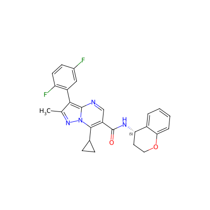 Cc1nn2c(C3CC3)c(C(=O)N[C@H]3CCOc4ccccc43)cnc2c1-c1cc(F)ccc1F